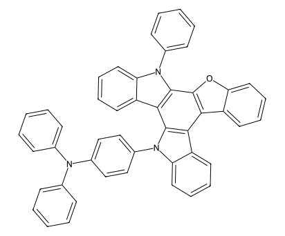 c1ccc(N(c2ccccc2)c2ccc(-n3c4ccccc4c4c5c6ccccc6oc5c5c(c6ccccc6n5-c5ccccc5)c43)cc2)cc1